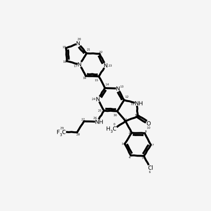 CC1(c2ccc(Cl)cc2)C(=O)Nc2nc(-c3cn4ccnc4cn3)nc(NCCC(F)(F)F)c21